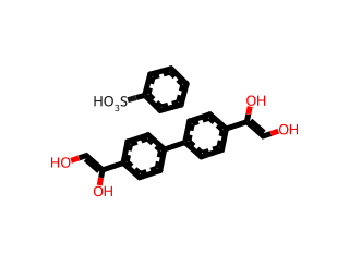 O=S(=O)(O)c1ccccc1.OC=C(O)c1ccc(-c2ccc(C(O)=CO)cc2)cc1